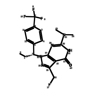 CC[C@H](c1ccc(C(F)(F)F)cc1)n1nc(CF)c2c(=O)[nH]c(N(C)C)nc21